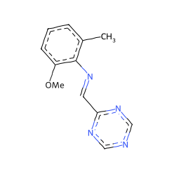 COc1cccc(C)c1N=Cc1ncncn1